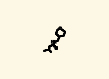 CC(C)=CC(=O)NCC1CCOCC1